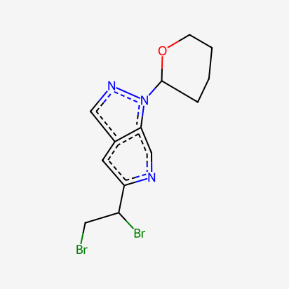 BrCC(Br)c1cc2cnn(C3CCCCO3)c2cn1